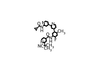 Cc1cc(F)c(NC(=O)c2ccnc(C(C)(C)C#N)c2)cc1-c1ccnc(-c2ccnc(NC(=O)C3CC3)c2)c1